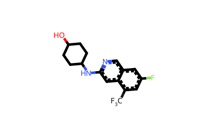 OC1CCC(Nc2cc3c(C(F)(F)F)cc(F)cc3cn2)CC1